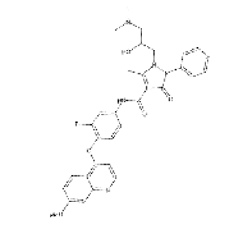 COc1ccc2c(Oc3ccc(NC(=O)c4c(C)n(CC(O)CN(C)C)n(-c5ccccc5)c4=O)cc3F)ccnc2c1